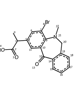 CC(C(=O)O)c1cc(Br)c2c(c1)C(=O)c1ccccc1CN2C